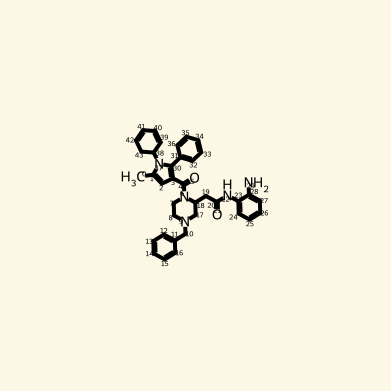 Cc1cc(C(=O)N2CCN(Cc3ccccc3)CC2CC(=O)Nc2ccccc2N)c(-c2ccccc2)n1C1C=CC=CC1